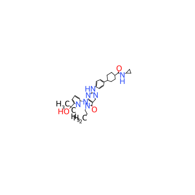 C=CCn1c(=O)c2cnc(Nc3ccc(C4CCC(C(=O)NC5CC5)CC4)cc3)nc2n1-c1cccc(C(C)(C)O)n1